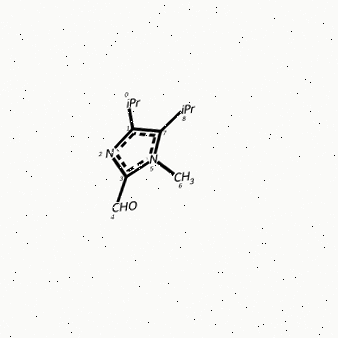 CC(C)c1nc(C=O)n(C)c1C(C)C